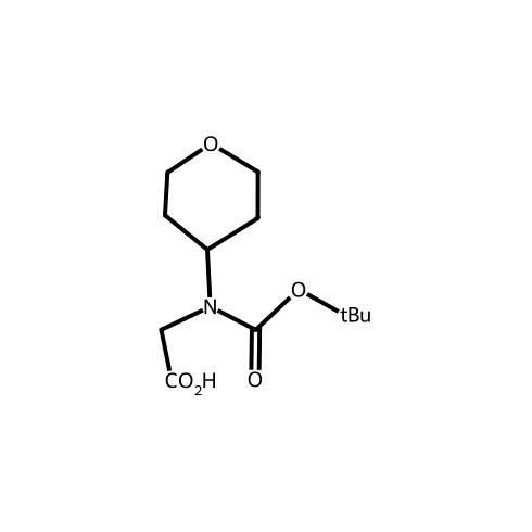 CC(C)(C)OC(=O)N(CC(=O)O)C1CCOCC1